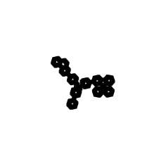 c1ccc(-c2ccc(N(c3ccc(-c4ccc5c(c4)C(c4ccccc4)(c4ccccc4)c4ccccc4-5)cc3)c3ccc(-c4ccc5c(ccc6ccccc65)c4)cc3)cc2)cc1